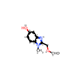 Cn1c(COC=O)nc2cc(O)ccc21